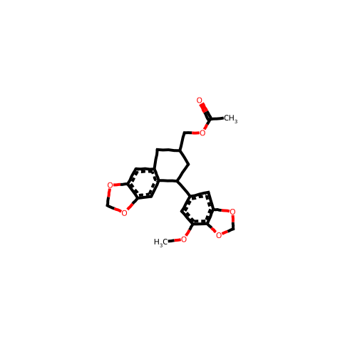 COc1cc(C2CC(COC(C)=O)Cc3cc4c(cc32)OCO4)cc2c1OCO2